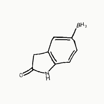 Bc1ccc2c(c1)CC(=O)N2